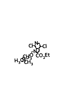 CCOC(=O)c1cc2c(Cl)cnc(Cl)c2n1COCC[Si](C)(C)C